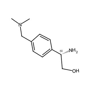 CN(C)Cc1ccc([C@H](N)CO)cc1